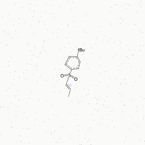 C/C=C/S(=O)(=O)c1ccc(C(C)(C)C)cc1